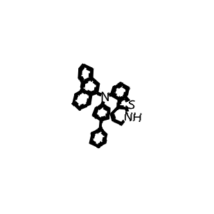 C1=Cc2c(sc3cccc(N(c4ccc(-c5ccccc5)cc4)c4cc5ccccc5c5ccccc45)c23)NC1